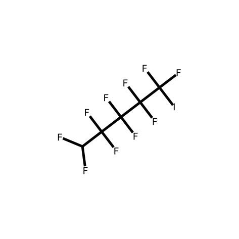 FC(F)C(F)(F)C(F)(F)C(F)(F)C(F)(F)I